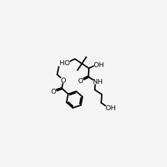 CC(C)(CO)C(O)C(=O)NCCCO.CCOC(=O)c1ccccc1